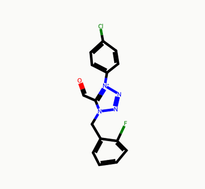 O=Cc1n(Cc2ccccc2F)nn[n+]1-c1ccc(Cl)cc1